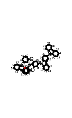 c1ccc2c(c1)Oc1cc(-n3c4ccccc4c4cc(-n5c6ccccc6c6ccccc65)ccc43)cc3c1B2c1c(cccc1-n1c2ccccc2c2ccccc21)O3